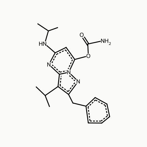 CC(C)Nc1cc(OC(N)=O)n2nc(Cc3ccccc3)c(C(C)C)c2n1